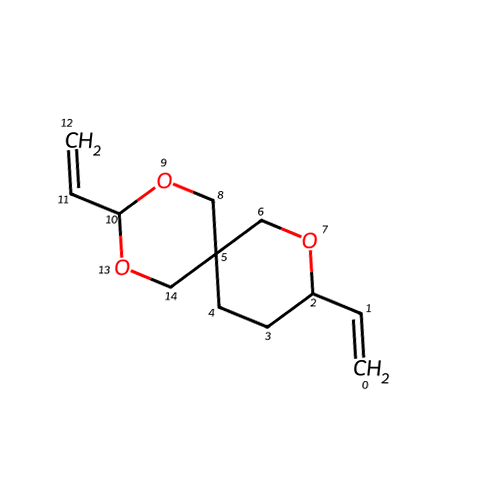 C=CC1CCC2(CO1)COC(C=C)OC2